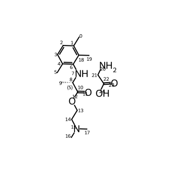 Cc1ccc(C)c(N[C@@H](C)C(=O)OCCN(C)C)c1C.NCC(=O)O